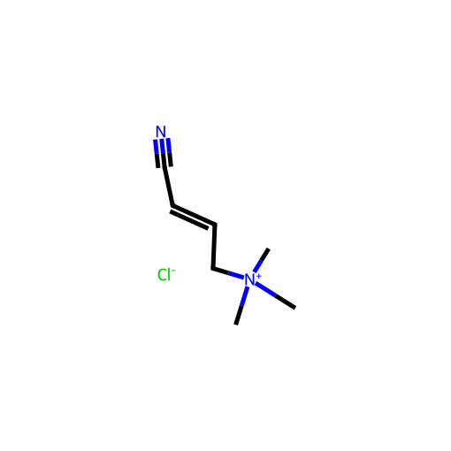 C[N+](C)(C)CC=CC#N.[Cl-]